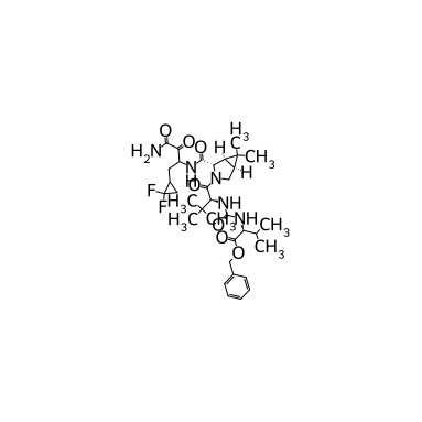 CC(C)[C@H](NC(=O)N[C@H](C(=O)N1C[C@H]2[C@@H]([C@H]1C(=O)NC(CC1CC1(F)F)C(=O)C(N)=O)C2(C)C)C(C)(C)C)C(=O)OCc1ccccc1